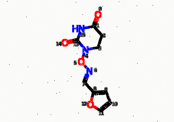 O=C1CCN(O/N=C/c2ccco2)C(=O)N1